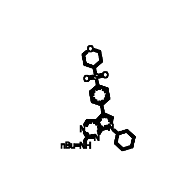 CCCCNc1ncc2c(-c3ccc(S(=O)(=O)C4CCOCC4)cc3)cn(C3CCCCC3)c2n1